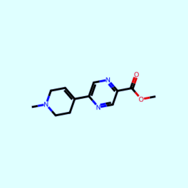 COC(=O)c1cnc(C2=CCN(C)CC2)cn1